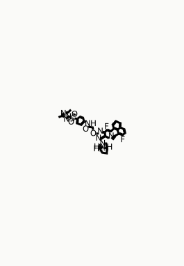 C#Cc1c(F)ccc2cccc(-c3ncc4c(N5C[C@H]6CC[C@@H](C5)N6)nc(OCC(=O)Nc5ccc(S(=O)(=O)n6nc(C)nc6C)cc5)nc4c3F)c12